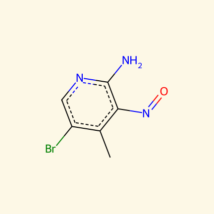 Cc1c(Br)cnc(N)c1N=O